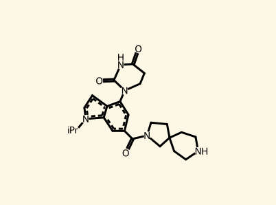 CC(C)n1ccc2c(N3CCC(=O)NC3=O)cc(C(=O)N3CCC4(CCNCC4)C3)cc21